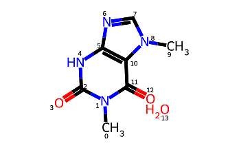 Cn1c(=O)[nH]c2ncn(C)c2c1=O.O